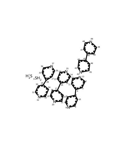 S.S.c1cc(-c2ccncc2)ccn1.c1cc(-c2ccncc2)ccn1.c1cc(-c2ccncc2)ccn1.c1cc(-c2ccncc2)ccn1